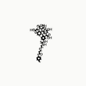 Cc1ccc(SC(=O)CCOCCNC(=S)Nc2ccc(C[C@H](CN(CC(=O)O)[C@H]3CCCC[C@@H]3N(CC(=O)O)CC(=O)O)N(CC(=O)O)CC(=O)O)cc2)cc1